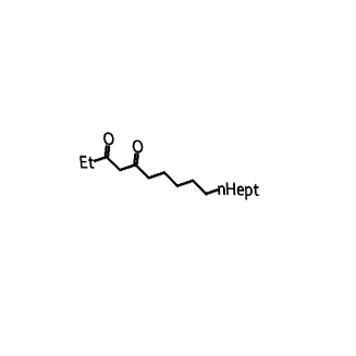 CCCCCCCCCCCCC(=O)CC(=O)CC